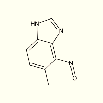 Cc1ccc2[nH]cnc2c1N=O